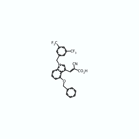 N#C/C(=C\c1cn(Cc2cc(C(F)(F)F)cc(C(F)(F)F)c2)c2cccc(OCc3ccccc3)c12)C(=O)O